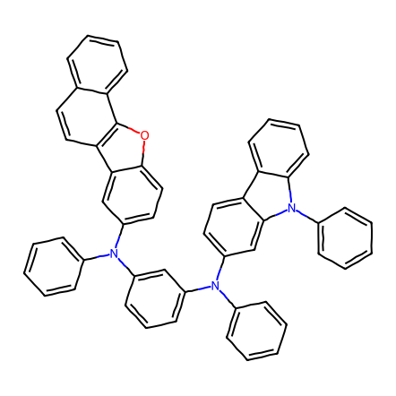 c1ccc(N(c2cccc(N(c3ccccc3)c3ccc4c5ccccc5n(-c5ccccc5)c4c3)c2)c2ccc3oc4c5ccccc5ccc4c3c2)cc1